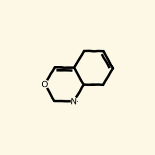 C1=CCC2[N]COC=C2C1